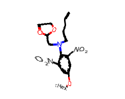 C=CCCCN(CC1OCCO1)c1c([N+](=O)[O-])cc(OCCCCCC)cc1[N+](=O)[O-]